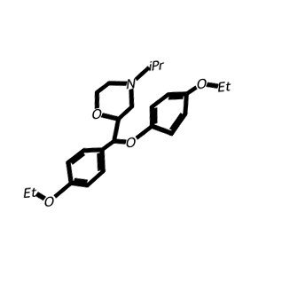 CCOc1ccc(OC(c2ccc(OCC)cc2)C2CN(C(C)C)CCO2)cc1